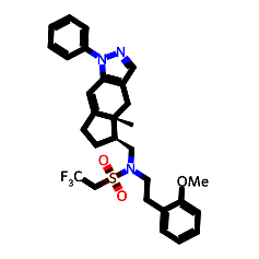 COc1ccccc1CCN(C[C@H]1CCC2=Cc3c(cnn3-c3ccccc3)C[C@@]21C)S(=O)(=O)CC(F)(F)F